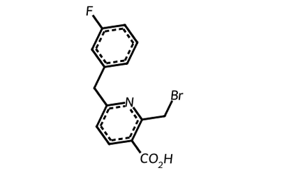 O=C(O)c1ccc(Cc2cccc(F)c2)nc1CBr